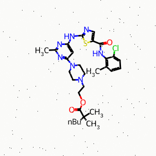 CCCCC(C)(C)C(=O)OCCN1CCN(c2cc(Nc3ncc(C(=O)Nc4c(C)cccc4Cl)s3)nc(C)n2)CC1